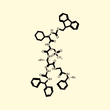 CCC[C@H](NC(=O)[C@H](CS(C)(=O)=O)NC(=O)[C@H](NC(=O)OCC1c2ccccc2-c2ccccc21)C1CCCCC1)C(=NNC(=O)NC(c1ccccc1)c1ccccc1)C(=O)NCC(=O)N[C@H](C(C)=O)c1ccccc1